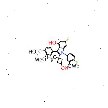 COc1cc(-n2c3cc(F)cc(O)c3c(-c3ccc(C(=O)O)c(OC)c3)c2[C@]2(C)C[C@@H](O)C2)ccc1F